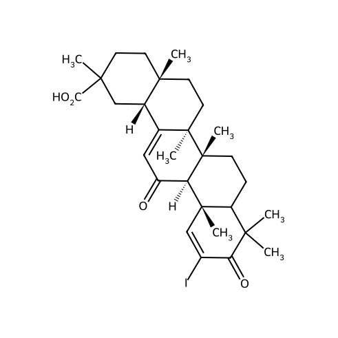 CC1(C(=O)O)CC[C@]2(C)CC[C@]3(C)C(=CC(=O)[C@@H]4[C@@]5(C)C=C(I)C(=O)C(C)(C)C5CC[C@]43C)[C@@H]2C1